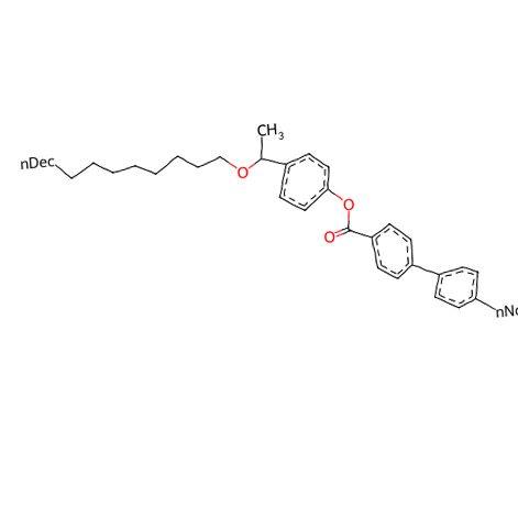 CCCCCCCCCCCCCCCCCCOC(C)c1ccc(OC(=O)c2ccc(-c3ccc(CCCCCCCCC)cc3)cc2)cc1